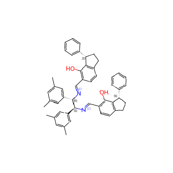 Cc1cc(C)cc([C@H](/N=C/c2ccc3c(c2O)[C@H](c2ccccc2)CC3)[C@@H](/N=C/c2ccc3c(c2O)[C@H](c2ccccc2)CC3)c2cc(C)cc(C)c2)c1